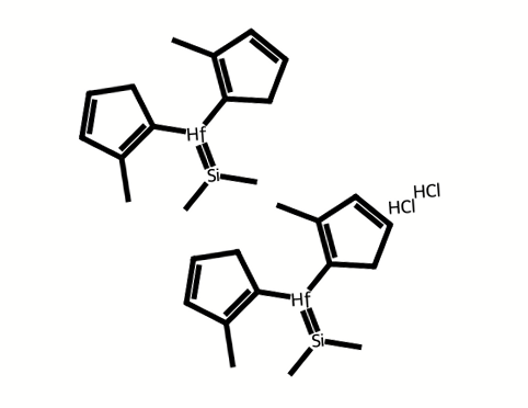 CC1=[C]([Hf]([C]2=C(C)C=CC2)=[Si](C)C)CC=C1.CC1=[C]([Hf]([C]2=C(C)C=CC2)=[Si](C)C)CC=C1.Cl.Cl